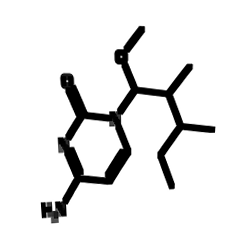 CCC(C)C(C)C(OC)n1ccc(N)nc1=O